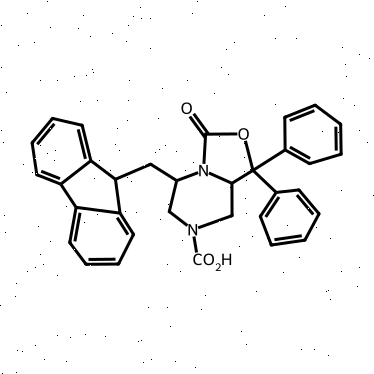 O=C(O)N1CC(CC2c3ccccc3-c3ccccc32)N2C(=O)OC(c3ccccc3)(c3ccccc3)C2C1